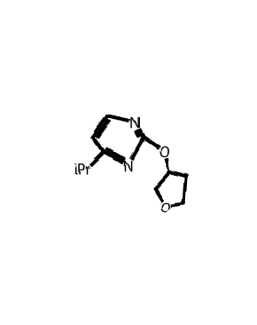 CC(C)c1ccnc(O[C@H]2CCOC2)n1